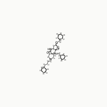 O=C(CC1NC(=O)C2(CCN(CCCCc3ccccc3)CC2)N(CCc2ccccc2)C1=O)OCc1ccccc1